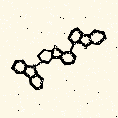 C1=C(n2c3ccccc3c3ccccc32)CCc2oc3c(-c4cccc5c4sc4ccccc45)cccc3c21